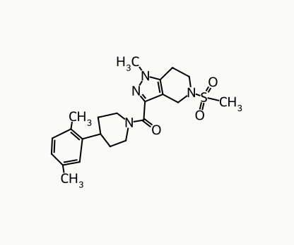 Cc1ccc(C)c(C2CCN(C(=O)c3nn(C)c4c3CN(S(C)(=O)=O)CC4)CC2)c1